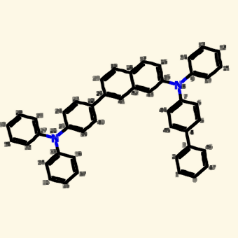 c1ccc(-c2ccc(N(c3ccccc3)c3ccc4ccc(-c5ccc(N(c6ccccc6)c6ccccc6)cc5)cc4c3)cc2)cc1